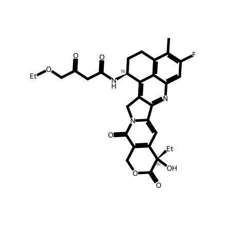 CCOCC(=O)CC(=O)N[C@H]1CCc2c(C)c(F)cc3nc4c(c1c23)Cn1c-4cc2c(c1=O)COC(=O)[C@]2(O)CC